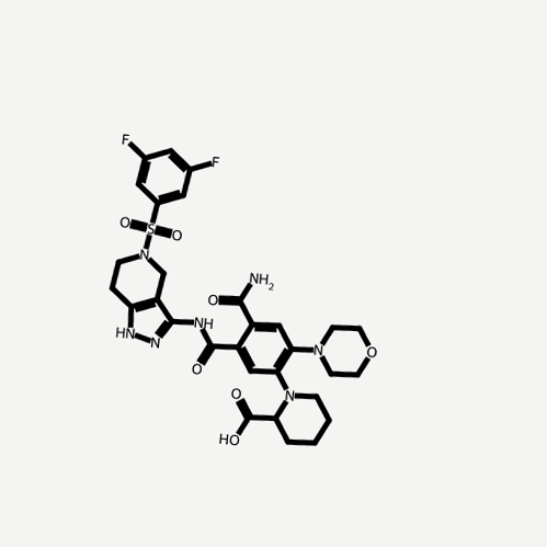 NC(=O)c1cc(N2CCOCC2)c(N2CCCCC2C(=O)O)cc1C(=O)Nc1n[nH]c2c1CN(S(=O)(=O)c1cc(F)cc(F)c1)CC2